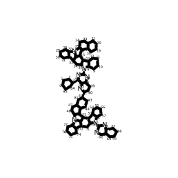 c1ccc(-c2nc(-n3c4ccccc4c4c5c6c7ccccc7ccc6n6c7ccccc7c(cc43)c56)nc3ccc(-c4ccc5c(ccc6c5c5c7c8ccccc8n(-c8ncc9ccccc9n8)c7cc7c8ccccc8n6c75)c4)nc23)cc1